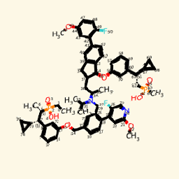 CCP(=O)(O)[C@@H](C)[C@H](c1cccc(OCc2ccc(-c3cc(OC)ncc3F)c(CN(C(C)C)C(C)CC3Cc4cc(-c5cc(OC)ccc5F)ccc4C3Oc3cccc([C@@H](CP(C)(=O)O)C4CC4)c3)c2)c1)C1CC1